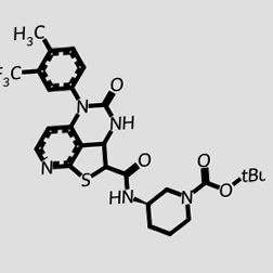 Cc1ccc(N2C(=O)NC3c4c2ccnc4SC3C(=O)N[C@@H]2CCCN(C(=O)OC(C)(C)C)C2)cc1C(F)(F)F